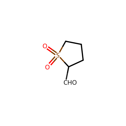 O=CC1CCCS1(=O)=O